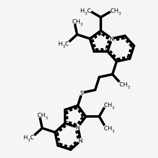 CC(C)c1cc2c(C(C)CCSc3cc4c(C(C)C)ccnn4c3C(C)C)cccn2c1C(C)C